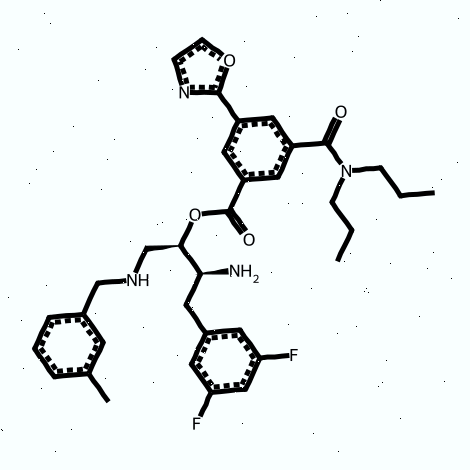 CCCN(CCC)C(=O)c1cc(C(=O)O[C@H](CNCc2cccc(C)c2)[C@@H](N)Cc2cc(F)cc(F)c2)cc(-c2ncco2)c1